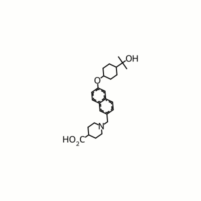 CC(C)(O)C1CCC(Oc2ccc3cc(CN4CCC(C(=O)O)CC4)ccc3c2)CC1